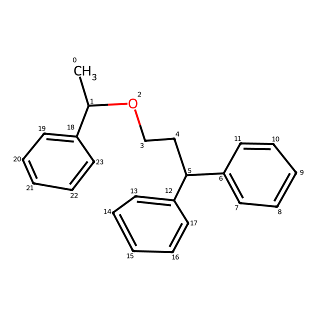 CC(OCCC(c1ccccc1)c1ccccc1)c1ccccc1